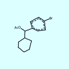 CC(=O)OC(c1ccc(Br)cc1)C1CCCCC1